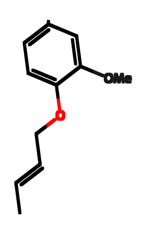 CC=CCOc1cc[c]cc1OC